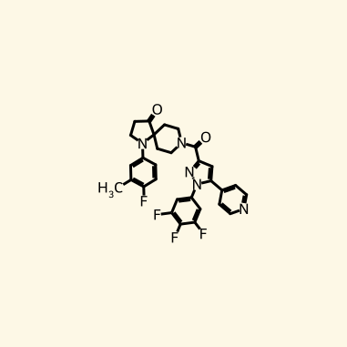 Cc1cc(N2CCC(=O)C23CCN(C(=O)c2cc(-c4ccncc4)n(-c4cc(F)c(F)c(F)c4)n2)CC3)ccc1F